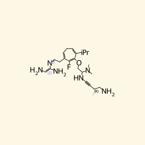 CC(C)C1=CCC=C(C/C=N\C(N)=C/N)C(F)=C1OCC(NC#C[C@@H](C)CN)N(C)C